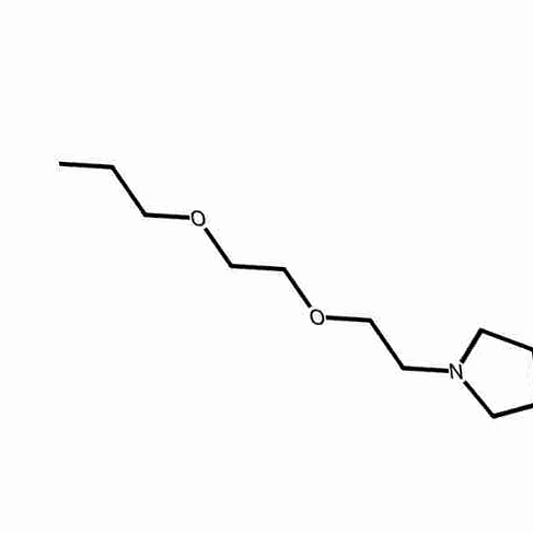 CCCOCCOCCN1CCCC1